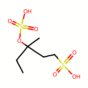 CCC(C)(CCS(=O)(=O)O)OS(=O)(=O)O